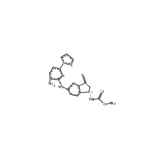 CC(C)(C)OC(=O)N[C@H]1CC(=O)c2cc(Nc3nc(-n4cccn4)ccc3[N+](=O)[O-])ccc21